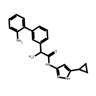 CC(C(=O)Nc1cc(C2CC2)[nH]n1)c1cccc(-c2ccccc2N)c1